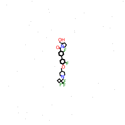 O=C(c1ccc(-c2ccc(OCC3CCN(CC4(C(F)(F)F)CCC4)CC3)c(F)c2)cc1F)N1CCC[C@@H]1CO